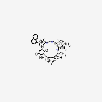 CO[C@H]1/C=C\C=C(/C)C(=O)N(CC(=O)c2cccc3ccccc23)C2=CC(=O)C(N)=C(C[C@H](C)C[C@@H](OC)[C@H](O)[C@@H](C)/C=C(\C)[C@@H]1OC(N)=O)C2=O